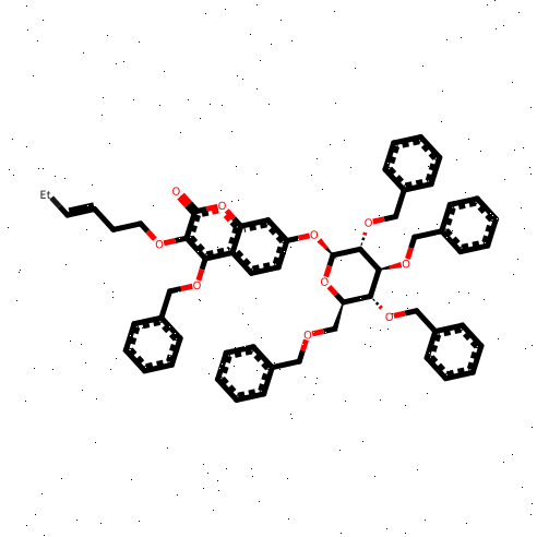 CC/C=C/CCOc1c(OCc2ccccc2)c2ccc(O[C@@H]3O[C@H](COCc4ccccc4)[C@@H](OCc4ccccc4)[C@H](OCc4ccccc4)[C@H]3OCc3ccccc3)cc2oc1=O